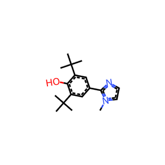 Cn1ccnc1-c1cc(C(C)(C)C)c(O)c(C(C)(C)C)c1